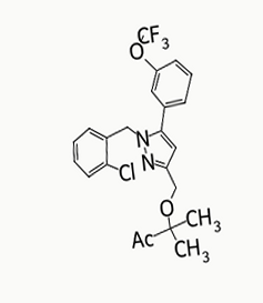 CC(=O)C(C)(C)OCc1cc(-c2cccc(OC(F)(F)F)c2)n(Cc2ccccc2Cl)n1